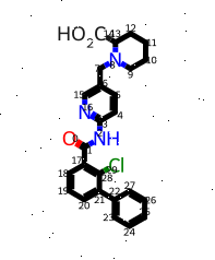 O=C(Nc1ccc(CN2CCCCC2C(=O)O)cn1)c1cccc(-c2ccccc2)c1Cl